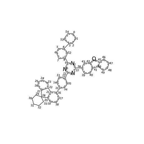 c1ccc(-c2cccc(-c3nc(-c4ccc(-c5cccc6c5-c5ccccc5C65CCCCC5)cc4)nc(-c4ccc5c(c4)oc4ccccc45)n3)c2)cc1